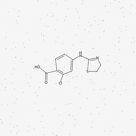 O=C(O)c1ccc(NC2=NCCS2)cc1Cl